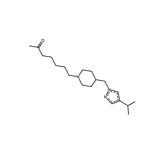 CC(=O)CCCCCN1CCC(Cn2cc(C(C)C)cn2)CC1